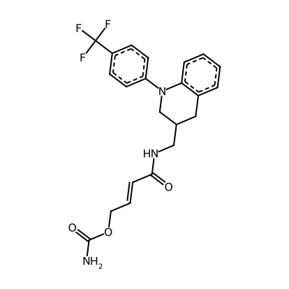 NC(=O)OCC=CC(=O)NCC1Cc2ccccc2N(c2ccc(C(F)(F)F)cc2)C1